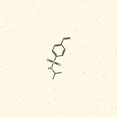 C=Cc1ccc(S(=O)(=O)NC(C)C)cc1